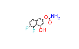 NC(=O)Oc1cc(O)c2c(F)c(F)ccc2c1